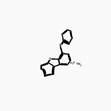 O.O.[B](c1ccccc1)c1cccc2c1sc1ccccc12